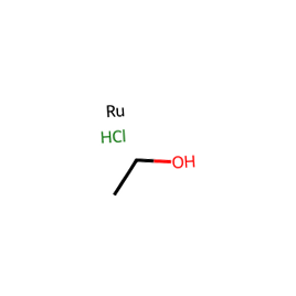 CCO.Cl.[Ru]